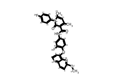 COc1ccc2nccc(Oc3ccc(NC(=O)c4c(C)cc(C)n(-c5ccc(F)cc5)c4=O)cc3F)c2n1